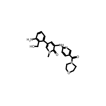 Cn1cc(-c2cccc(N)c2CO)cc(Nc2ccc(C(=O)N3CCOCC3)cn2)c1=O